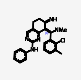 CN/C(=C1\C(=N)CCc2cnc(Nc3ccccc3)nc21)c1cccc(C)c1Cl